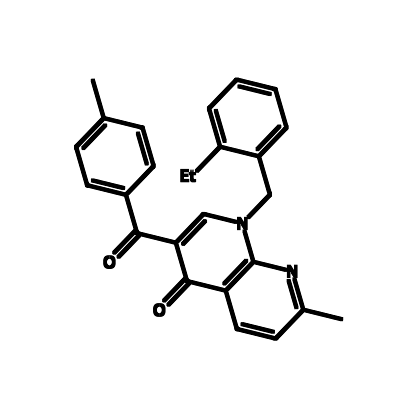 CCc1ccccc1Cn1cc(C(=O)c2ccc(C)cc2)c(=O)c2ccc(C)nc21